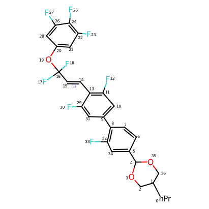 CCCC1COC(c2ccc(-c3cc(F)c(/C=C/C(F)(F)Oc4cc(F)c(F)c(F)c4)c(F)c3)c(F)c2)OC1